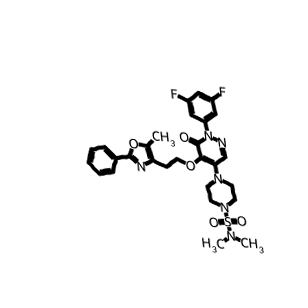 Cc1oc(-c2ccccc2)nc1CCOc1c(N2CCN(S(=O)(=O)N(C)C)CC2)cnn(-c2cc(F)cc(F)c2)c1=O